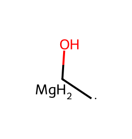 [CH2]CO.[MgH2]